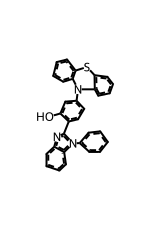 Oc1cc(N2c3ccccc3Sc3ccccc32)ccc1-c1nc2ccccc2n1-c1ccccc1